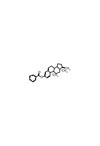 C=C1CCC2C3CC=C4C=C(OC(=O)c5ccccc5)C=C[C@]4(C)C3CC[C@]12C